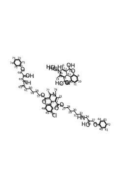 CC1=C(C(=O)O)C(c2ccccc2Cl)C(C(=O)O)=C(C)N1.CC1=C(C(=O)OCCCCCCNCC(O)COc2ccccc2)C(c2cccc(Cl)c2)C(C(=O)OCCCCCC(C)NCC(O)COc2ccccc2)=C(C)N1C.Cl.Cl